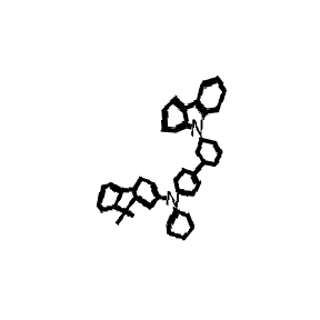 CC1(C)C2=CC(N(C3=CCCCC3)C3=CC=C(C4CC=CC(n5c6c(c7ccccc75)C=CCC6)C4)CC3)=CCC2C2=CC=CCC21